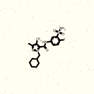 Cc1nn(CC2CCCCC2)c(C(=O)Nc2ccc(F)c(S(N)(=O)=O)c2)c1C(F)(F)F